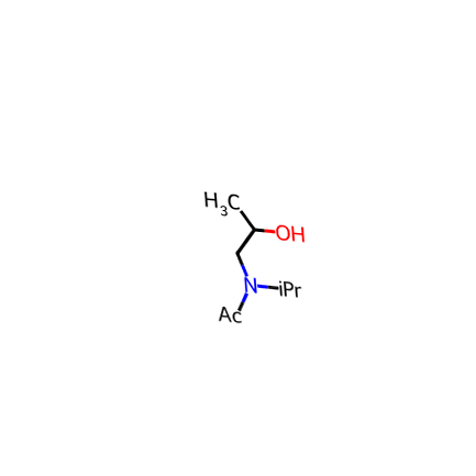 CC(=O)N(CC(C)O)C(C)C